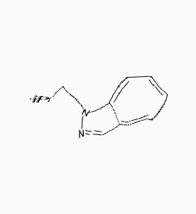 C[C](C)Cn1ncc2ccccc21